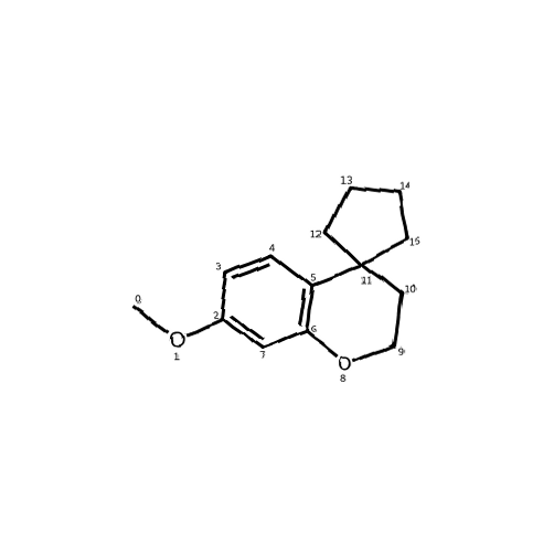 COc1ccc2c(c1)OCCC21CCCC1